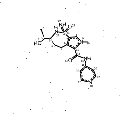 C[C@H](O)[C@H]1CCc2c(cn(C)c2C(=O)Nc2ccncc2)S(=N)(=O)N1